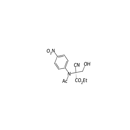 CCOC(=O)[C@](C#N)(CO)N(C(C)=O)c1ccc([N+](=O)[O-])cc1